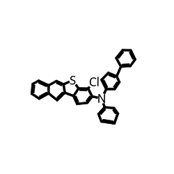 Clc1c(N(c2ccccc2)c2ccc(-c3ccccc3)cc2)ccc2c1sc1cc3ccccc3cc12